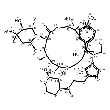 CC[C@H]1CN(C)[C@H](C)[C@@H](O)[C@](C)(O)[C@@H](CC)OC(=O)[C@H](C)[C@@H](O[C@H]2C[C@@](C)(OC)[C@@H](O)[C@H](C)O2)[C@H](C)[C@@H](O[C@@H]2OCC[C@H](N(C)CCc3cn([C@H](CO)[C@H](O)c4ccc([N+](=O)[O-])cc4)nn3)[C@H]2O)[C@](C)(O)C1